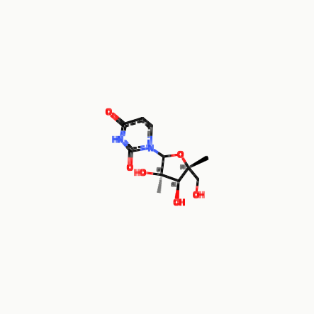 C[C@]1(CO)OC(n2ccc(=O)[nH]c2=O)[C@](C)(O)[C@@H]1O